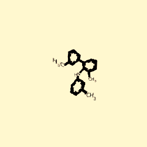 Cc1cccc(Nc2c(C)cccc2-c2cccc(C)c2)c1